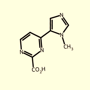 Cn1cncc1-c1ccnc(C(=O)O)n1